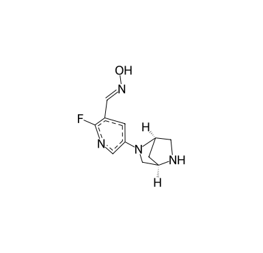 ON=Cc1cc(N2C[C@H]3C[C@@H]2CN3)cnc1F